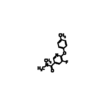 Cc1ccc(Oc2ncc(C(=O)N(C)C)cc2F)cc1